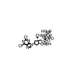 C#C[C@@]1(COP(=O)(O)OP(=O)(O)OP(=O)(O)O)C[C@H](n2cnc3c(Cl)nc(Cl)nc32)C[C@H]1O